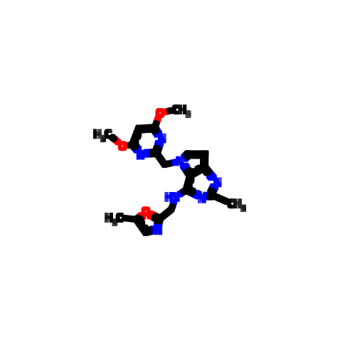 COc1cc(OC)nc(Cn2ccc3nc(C)nc(NCc4ncc(C)o4)c32)n1